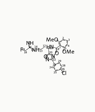 COc1cccc(OC)c1C(=O)N[C@@H](CCCNC(=N)CF)c1nc(-c2ccc(Cl)cc2)no1